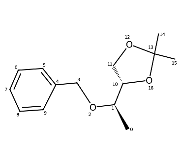 C[C@@H](OCc1ccccc1)[C@@H]1COC(C)(C)O1